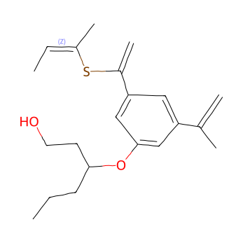 C=C(C)c1cc(OC(CCC)CCO)cc(C(=C)S/C(C)=C\C)c1